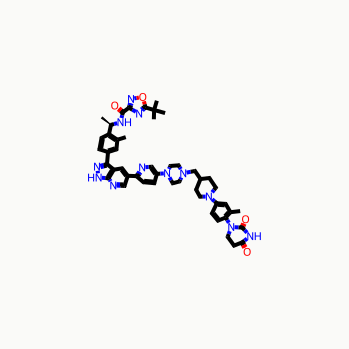 Cc1cc(-c2n[nH]c3ncc(-c4ccc(N5CCN(CC6CCN(c7ccc(N8CCC(=O)NC8=O)c(C)c7)CC6)CC5)cn4)cc23)ccc1[C@@H](C)NC(=O)c1noc(C(C)(C)C)n1